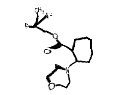 CC(F)(F)COC(=O)C1CCCCC1N1CCOCC1